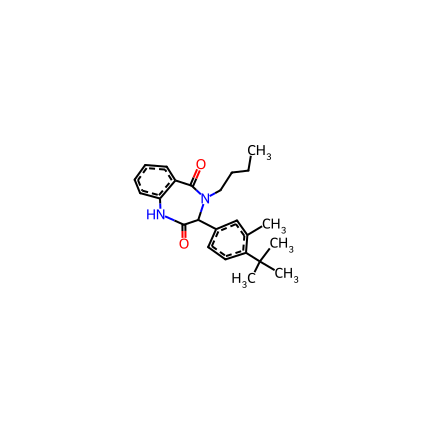 CCCCN1C(=O)c2ccccc2NC(=O)C1c1ccc(C(C)(C)C)c(C)c1